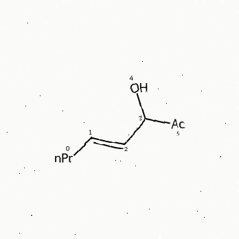 CCC/C=C/C(O)C(C)=O